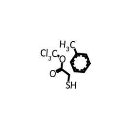 Cc1ccccc1.O=C(CS)OC(Cl)(Cl)Cl